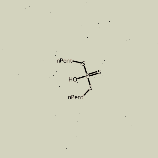 CCCCCSP(O)(=S)SCCCCC